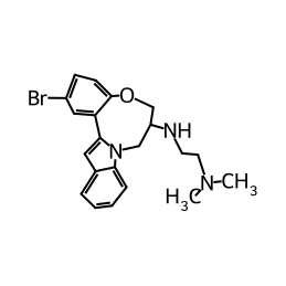 CN(C)CCNC1COc2ccc(Br)cc2-c2cc3ccccc3n2C1